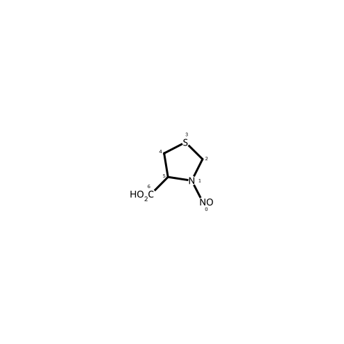 O=NN1CSCC1C(=O)O